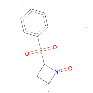 O=[N+]1CCC1S(=O)(=O)c1ccccc1